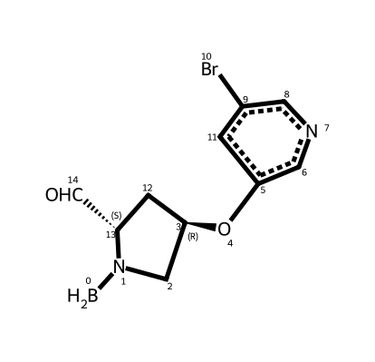 BN1C[C@H](Oc2cncc(Br)c2)C[C@H]1C=O